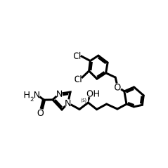 NC(=O)c1cn(C[C@@H](O)CCCc2ccccc2OCc2ccc(Cl)c(Cl)c2)cn1